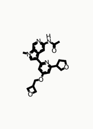 CC(=O)Nc1cc2c(-c3cc(OCC4COC4)cc(C4CCOC4)n3)cn(C)c2cn1